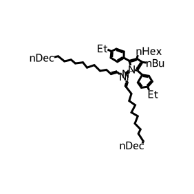 CCCCCCC1=C(c2ccc(CC)cc2)[N+](=[N-])C(c2ccc(CC)cc2)=C1CCCC.CCCCCCCCCCCCCCCCCCCC=[CH][Ni][CH]=CCCCCCCCCCCCCCCCCCCC